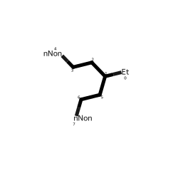 [CH2]CC(CCCCCCCCCCC)CCCCCCCCCCC